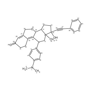 CN(C)c1ccc(C2CC3(C)C(CCC3(O)C#Cc3ccccc3)C3OCC4=CC(=O)CCC4=C23)cc1